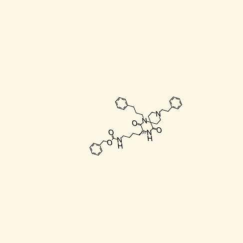 O=C(NCCCC[C@@H]1NC(=O)C2(CCN(CCc3ccccc3)CC2)N(CCCc2ccccc2)C1=O)OCc1ccccc1